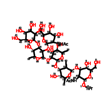 CCCO[C@@H]1OC(CO)[C@@H](O)[C@H](O[C@@H]2OC(C)[C@H](O)[C@H](O[C@@H]3OC(C)[C@H](O)[C@H](O)C3O[C@@H]3OC(C)[C@H](O)[C@H](O[C@H]4O[C@@H](CO)[C@@H](O)C(O)C4O)C3O[C@@H]3OC(CO)[C@@H](O)[C@H](O)C3NC(C)=O)C2C)C1NC(C)=O